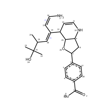 CCC(C)C(=O)c1ccc(C2CC3NC=CC(C(/C=C\N)=C/C(C)C(C)(C)O)C3O2)cc1